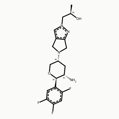 C[C@@H](O)Cn1cc2c(n1)CN([C@H]1CO[C@H](c3cc(F)c(F)cc3F)[C@@H](N)C1)C2